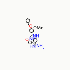 COc1cc(C(CNC(=O)C(F)(F)F)Nc2ccc(C(=N)N)cc2)ccc1OCc1ccccc1